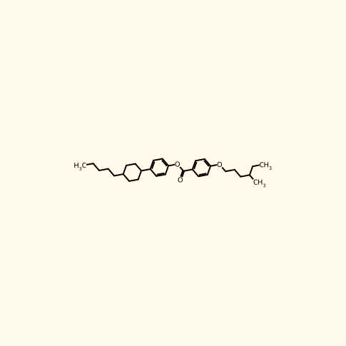 CCCCCC1CCC(c2ccc(OC(=O)c3ccc(OCCCC(C)CC)cc3)cc2)CC1